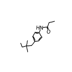 CCC(=O)Nc1ccc(CC(C)(C)CC)cc1